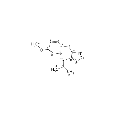 COc1ccc(Cn2nccc2[CH]C(C)C)cc1